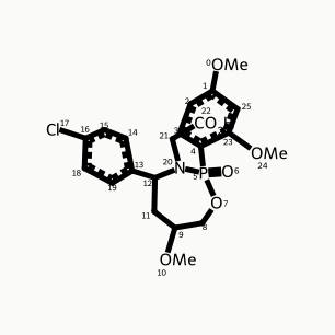 COc1ccc(P2(=O)OCC(OC)CC(c3ccc(Cl)cc3)N2CC(=O)O)c(OC)c1